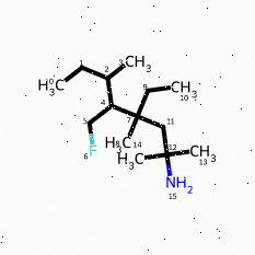 CCC(C)C(CF)C(C)(CC)CC(C)(C)N